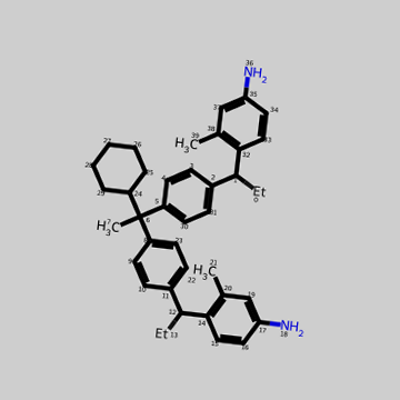 CCC(c1ccc(C(C)(c2ccc(C(CC)c3ccc(N)cc3C)cc2)C2CCCCC2)cc1)c1ccc(N)cc1C